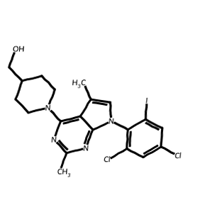 Cc1nc(N2CCC(CO)CC2)c2c(C)cn(-c3c(Cl)cc(Cl)cc3I)c2n1